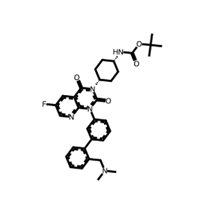 CN(C)Cc1ccccc1-c1cccc(-n2c(=O)n([C@H]3CC[C@@H](NC(=O)OC(C)(C)C)CC3)c(=O)c3cc(F)cnc32)c1